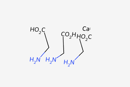 NCC(=O)O.NCC(=O)O.NCC(=O)O.[Ca]